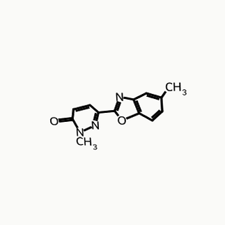 Cc1ccc2oc(-c3ccc(=O)n(C)n3)nc2c1